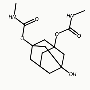 CNC(=O)OC12CC3CC(O)(C1)CC(OC(=O)NC)(C3)C2